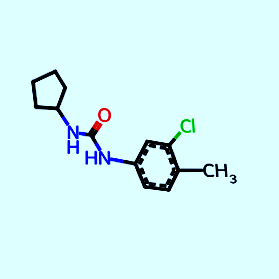 Cc1ccc(NC(=O)NC2CCCC2)cc1Cl